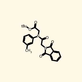 Cc1cccc(N(CC(=O)OC(C)(C)C)C(=O)CN2C(=O)c3ccccc3C2=O)c1